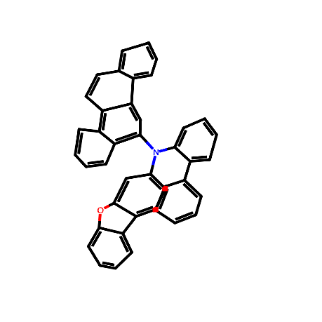 c1ccc(-c2ccccc2N(c2ccc3c(c2)oc2ccccc23)c2cc3c4ccccc4ccc3c3ccccc23)cc1